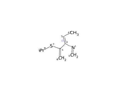 C=N/C(=C\C)C(=C)SC(C)C